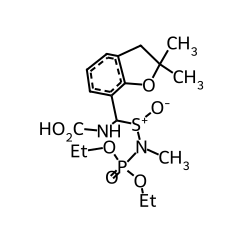 CCOP(=O)(OCC)N(C)[S+]([O-])C(NC(=O)O)c1cccc2c1OC(C)(C)C2